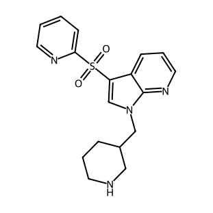 O=S(=O)(c1ccccn1)c1cn(CC2CCCNC2)c2ncccc12